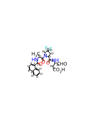 C[C@H](NC(=O)c1cccc2ccccc12)C(=O)N1CC(F)(F)C[C@H]1C(=O)N[C@H](C=O)CC(=O)O